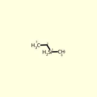 [CH][SiH2]CC